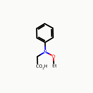 CCON(CC(=O)O)c1ccccc1